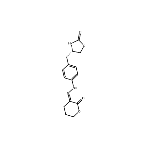 O=C1N[C@@H](Cc2ccc(NN=C3CCCOC3=O)cc2)CO1